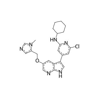 Cn1cncc1COc1cnc2[nH]cc(-c3cc(Cl)nc(NC4CCCCC4)c3)c2c1